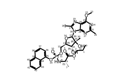 CCCOC(=O)[C@H](C)NP(=O)(OC[C@H]1O[C@@H](n2c(I)nc3c(OC)nc(C)nc32)[C@](C)(O)[C@@H]1O)Oc1cccc2ccccc12